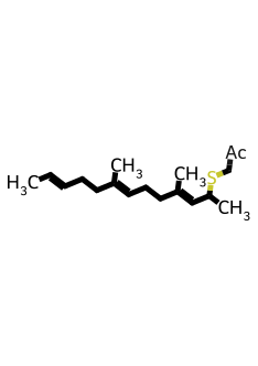 CC=CCC/C(C)=C/CC/C(C)=C/C(C)SCC(C)=O